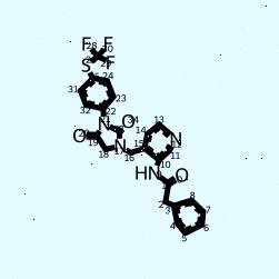 O=C(Cc1ccccc1)Nc1cnccc1CN1CC(=O)N(c2ccc(SC(F)(F)F)cc2)C1=O